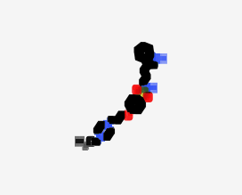 CCN1CCN(CCCOc2ccc(S(=O)(=O)NCCCc3c[nH]c4ccccc34)cc2)CC1